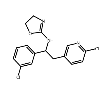 Clc1cccc(C(Cc2ccc(Cl)nc2)NC2=NCCO2)c1